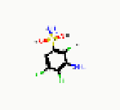 Nc1c(Cl)c(Cl)cc(S(N)(=O)=O)c1Cl